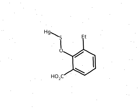 CCc1cccc(C(=O)O)c1O[S][Hg]